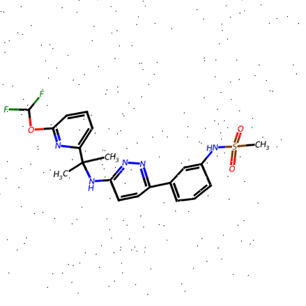 CC(C)(Nc1ccc(-c2cccc(NS(C)(=O)=O)c2)nn1)c1cccc(OC(F)F)n1